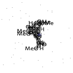 COCCOc1ccc(OCC(CNCCc2ccc(OC)c(OC)c2)OC(=O)/C=C\C(=O)OC(CNCCc2ccc(OC)c(OC)c2)COc2ccc(OCCOC)c3c2CCC(=O)N3)c2c1NC(=O)CC2